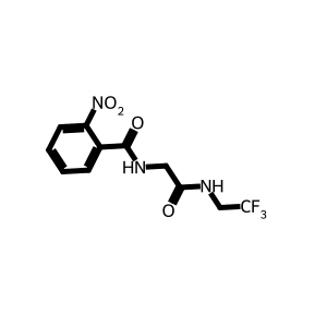 O=C(CNC(=O)c1ccccc1[N+](=O)[O-])NCC(F)(F)F